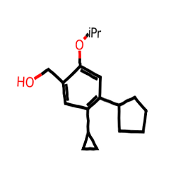 CC(C)Oc1cc(C2CCCC2)c(C2CC2)cc1CO